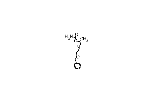 C[C@@H](CNCCOCc1ccccc1)OC(N)=O